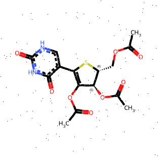 CC(=O)OC[C@H]1SC(c2c[nH]c(=O)[nH]c2=O)=C(OC(C)=O)[C@@H]1OC(C)=O